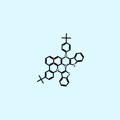 CC(C)(C)c1ccc(N2c3cccc4c3B(c3sc5ccccc5c32)c2sc3ccccc3c2N4c2ccc(C(C)(C)C)cc2-c2ccccc2)cc1